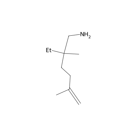 C=C(C)CCC(C)(CC)CN